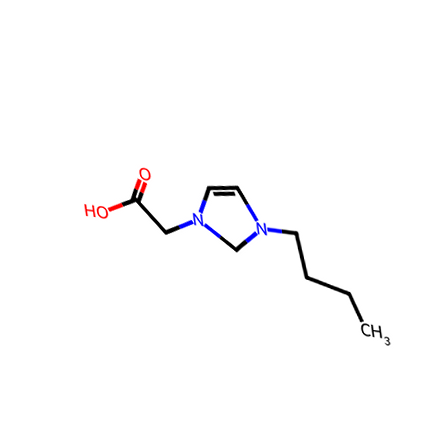 CCCCN1C=CN(CC(=O)O)C1